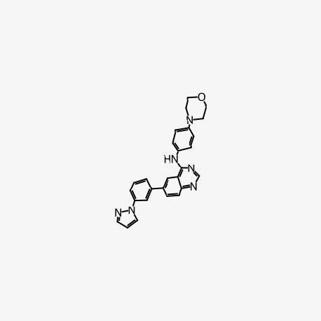 c1cc(-c2ccc3ncnc(Nc4ccc(N5CCOCC5)cc4)c3c2)cc(-n2cccn2)c1